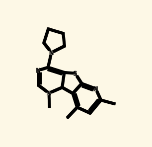 Cc1cc(C)c2c(n1)SC1=C(N3CCCC3)N=CN(C)C12